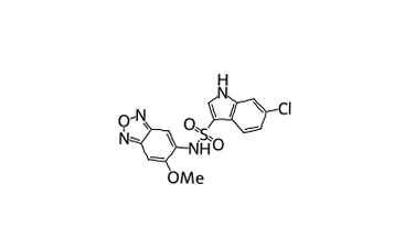 COc1cc2nonc2cc1NS(=O)(=O)c1c[nH]c2cc(Cl)ccc12